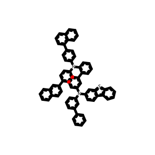 c1ccc(-c2cccc(N(c3cccc(-c4ccccc4N(c4ccc(-c5ccc6ccccc6c5)cc4)c4ccc(-c5cccc6ccccc56)cc4)c3)c3ccc4c(c3)sc3ccccc34)c2)cc1